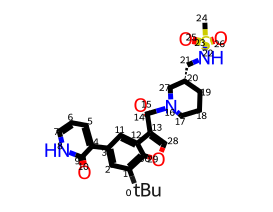 CC(C)(C)c1cc(-c2ccc[nH]c2=O)cc2c(C(=O)N3CCC[C@@H](CNS(C)(=O)=O)C3)coc12